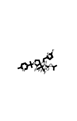 Cc1ccc(C(C)(C)N2CC[C@@](CCc3ccc(F)s3)(C(NC(=O)OC(C)C)(C(F)(F)F)C(F)(F)F)C2)cn1